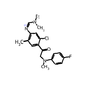 CCN(C)/C=N\c1cc(Cl)c(C(=O)CN(C)c2ccc(F)cc2)cc1C